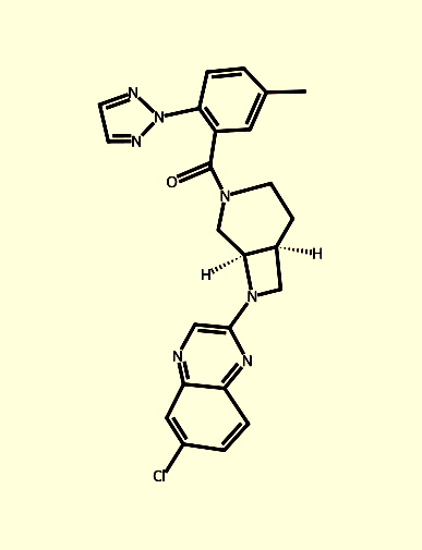 Cc1ccc(-n2nccn2)c(C(=O)N2CC[C@H]3CN(c4cnc5cc(Cl)ccc5n4)[C@H]3C2)c1